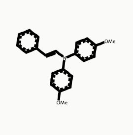 COc1ccc(N(C=Cc2ccccc2)c2ccc(OC)cc2)cc1